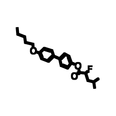 CCCCCOc1ccc(-c2ccc(OC(=O)C(F)CC(C)C)cc2)cc1